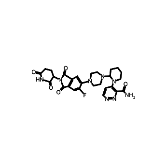 NC(=O)c1nnccc1N1CCCCC1N1CCN(c2cc3c(cc2F)C(=O)N(C2CCC(=O)NC2=O)C3=O)CC1